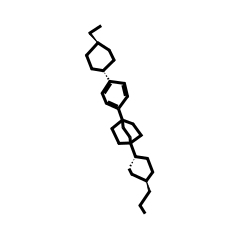 CCC[C@H]1CC[C@H](C23CCC(c4ccc([C@H]5CC[C@H](CC)CC5)cc4)(CC2)CC3)CC1